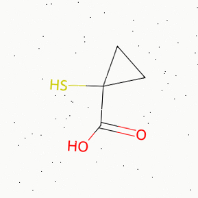 O=C(O)C1(S)CC1